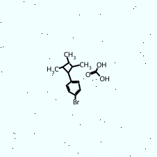 CC1C(C)C(c2ccc(Br)cc2)C1C.O=C(O)O